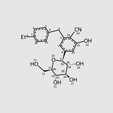 CCc1ccc(Cc2cc([C@@H]3O[C@H](CO)[C@@H](O)[C@H](O)[C@H]3O)cc(O)c2C#N)cc1